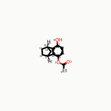 CCC(=O)Oc1ccc(O)c2c1[C@@H]1CC[C@H]2C1